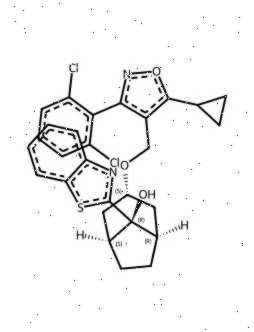 O[C@@]1(c2nc3ccccc3s2)[C@@H]2CC[C@H]1C[C@H](OCc1c(-c3c(Cl)cccc3Cl)noc1C1CC1)C2